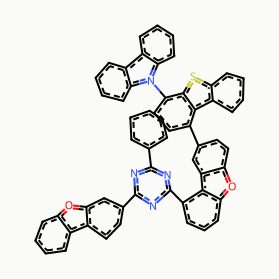 c1ccc(-c2nc(-c3ccc4c(c3)oc3ccccc34)nc(-c3cccc4oc5ccc(-c6ccc(-n7c8ccccc8c8ccccc87)c7sc8ccccc8c67)cc5c34)n2)cc1